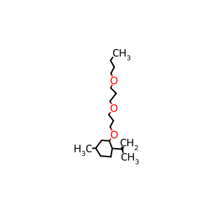 C=C(C)C1CCC(C)CC1OCCCOCCCOCCCC